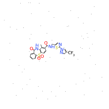 Cc1c(C(=O)NCc2cnc(-n3cc(C(F)(F)F)cn3)s2)ccc2c1NC(=O)c1ccccc1S2(=O)=O